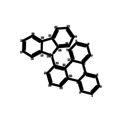 c1ccc2c(c1)c1ccccc1c1c(-n3c4ccccc4c4ccccc43)cccc21